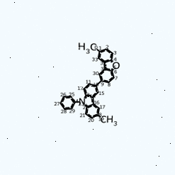 Cc1ccc2oc3ccc(-c4ccc5c(c4)c4cc(C)ccc4n5-c4ccccc4)cc3c2c1